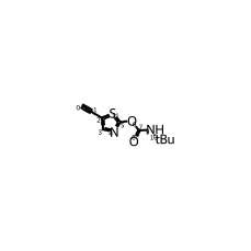 C#Cc1cnc(OC(=O)NC(C)(C)C)s1